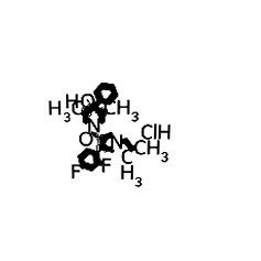 CC(C)CN1C[C@@H](C(=O)N2C[C@@H](C)[C@@](O)(c3ccccc3)[C@@H](C)C2)[C@H](c2ccc(F)cc2F)C1.Cl